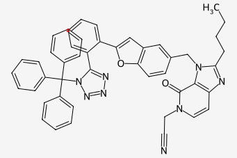 CCCCc1nc2ccn(CC#N)c(=O)c2n1Cc1ccc2oc(-c3ccccc3-c3nnnn3C(c3ccccc3)(c3ccccc3)c3ccccc3)cc2c1